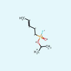 CC=CCCP(=O)(F)OC(C)C